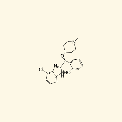 CN1CCC(O[C@H](c2nc3c(Cl)cccc3[nH]2)c2ccccc2O)CC1